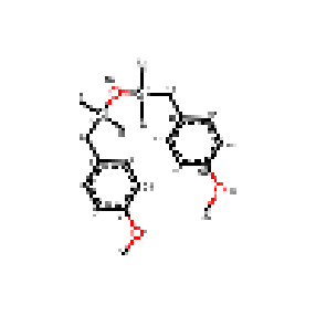 COc1ccc(C[Si](C)(C)O[Si](C)(C)Cc2ccc(OC)cc2)cc1